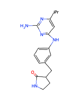 CC(C)c1cc(Nc2cccc(CC3CCNC3=O)c2)nc(N)n1